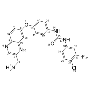 NCc1cnc2ccc(Oc3ccc(NC(=O)Nc4ccc(Cl)c(F)c4)cc3)cc2n1